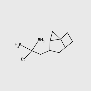 BC(B)(CC)CC1CC2CCC23CC13